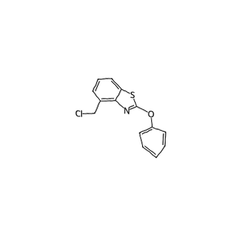 ClCc1cccc2sc(Oc3ccccc3)nc12